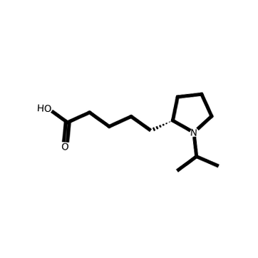 CC(C)N1CCC[C@H]1CCCCC(=O)O